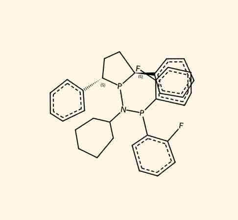 Fc1ccccc1P(c1ccccc1F)N(C1CCCCC1)P1[C@H](c2ccccc2)CC[C@H]1c1ccccc1